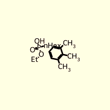 CCCCCCP(=O)(O)OCC.Cc1cccc(C)c1C